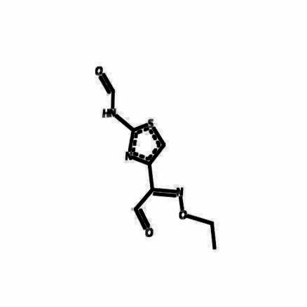 CCON=C([C]=O)c1csc(NC=O)n1